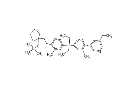 CCc1cncc(-c2ccc(C(CC)(CC)c3ccc(CCC4(O[Si](C)(C)C)CCCC4)c(C)c3)cc2C)c1